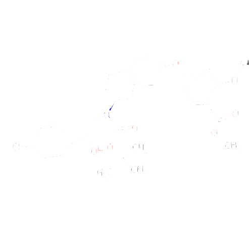 COC(=O)c1ccc(Oc2ccc3c(c2)C[C@@H](N(C[C@H](O)c2ccc(Cl)cc2)C(=O)OC(C)(C)C)CC3)cc1OC